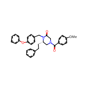 COc1ccc(C(=O)N2CC(=O)N(Cc3ccc(Oc4ccccc4)cc3)[C@@H](CCc3ccccc3)C2)cc1